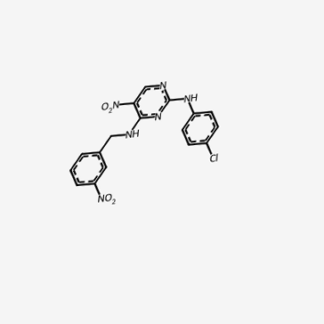 O=[N+]([O-])c1cccc(CNc2nc(Nc3ccc(Cl)cc3)ncc2[N+](=O)[O-])c1